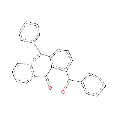 O=C(c1ccccc1)c1[c]ccc(C(=O)c2ccccc2)c1C(=O)c1ccccc1